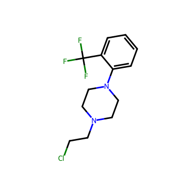 FC(F)(F)c1ccccc1N1CCN(CCCl)CC1